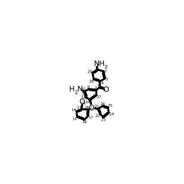 Nc1ccc(C(=O)c2cc(N)c(Oc3ccccc3)c(Oc3ccccc3)c2)cc1